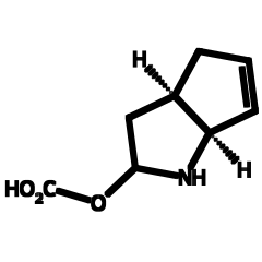 O=C(O)OC1C[C@H]2CC=C[C@H]2N1